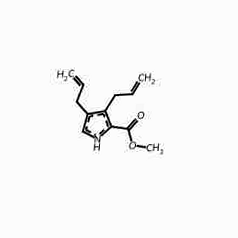 C=CCc1c[nH]c(C(=O)OC)c1CC=C